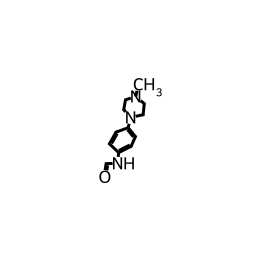 CN1CCN(c2ccc(NC=O)cc2)CC1